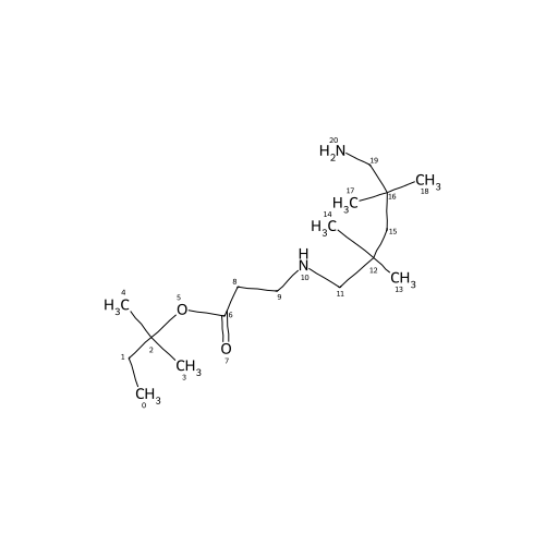 CCC(C)(C)OC(=O)CCNCC(C)(C)CC(C)(C)CN